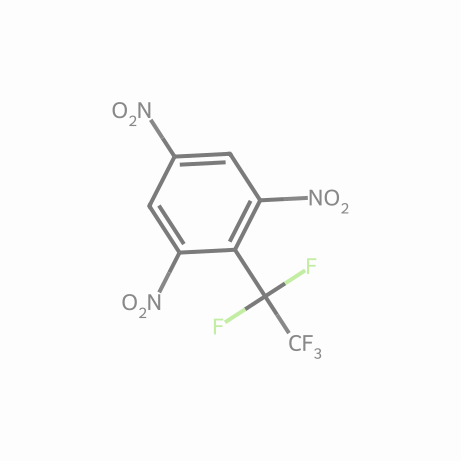 O=[N+]([O-])c1cc([N+](=O)[O-])c(C(F)(F)C(F)(F)F)c([N+](=O)[O-])c1